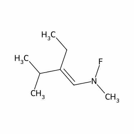 CC/C(=C\N(C)F)C(C)C